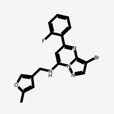 Cc1cc(CNc2cc(-c3ccccc3F)nc3c(Br)cnn23)co1